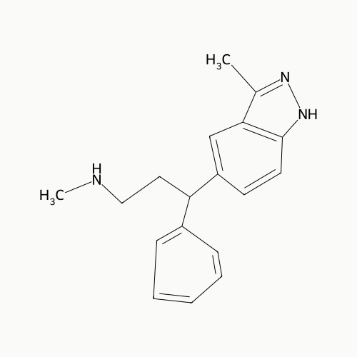 CNCCC(c1ccccc1)c1ccc2[nH]nc(C)c2c1